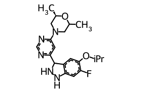 CC(C)Oc1cc2c(cc1F)NNC2c1cc(N2CC(C)O[C@H](C)C2)ncn1